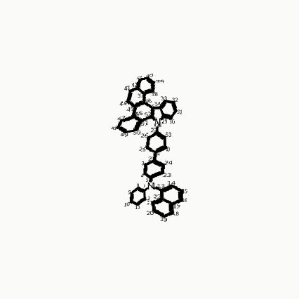 C1=C(c2ccc(N(c3ccccc3)c3cccc4ccccc34)cc2)CCC(n2c3ccccc3c3c4c5ccccc5ccc4c4ccccc4c32)=C1